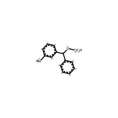 CC(C)(C)c1cccc(C(OC(=O)O)c2ccccc2)c1